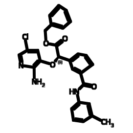 Cc1cccc(NC(=O)c2cccc([C@@H](Oc3cc(Cl)cnc3N)C(=O)OCc3ccccc3)c2)c1